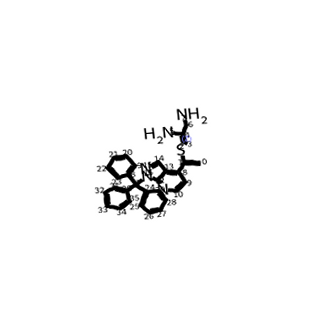 C=C(S/C=C(\N)CN)c1ccnc2c1cnn2C(c1ccccc1)(c1ccccc1)c1ccccc1